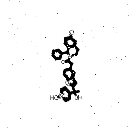 CC(O)(c1cc[n+](O)cc1)c1cc2cc(CC(=O)N3CCc4cc(Cl)ccc4C3c3ccccc3)ccc2o1